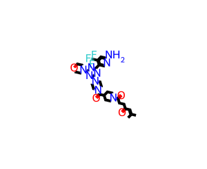 CC(C)=CC(=O)CCC(=O)N1CCC(C(=O)N2CCN(c3nc(-c4cnc(N)cc4C(F)(F)F)nc(N4CCOCC4)n3)CC2)CC1